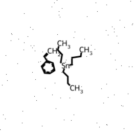 C=Cc1ccccc1.CCC[CH2][Sn]([CH2]CCC)[CH2]CCC